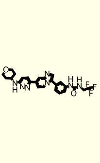 O=C(NCC(F)(F)F)Nc1cccc(-c2cnc3cc(-c4ccc(NC5CCOCC5)nn4)ccn23)c1